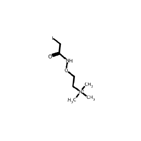 C[N+](C)(C)CCONC(=O)CI